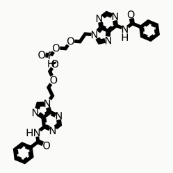 O=C(Nc1ncnc2c1ncn2CCOCO[PH](=O)OCOCCn1cnc2c(NC(=O)c3ccccc3)ncnc21)c1ccccc1